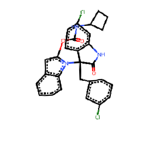 O=C(NC1CCC1)Oc1cc2ccccc2n1C1(Cc2cccc(Cl)c2)C(=O)Nc2cc(Cl)ccc21